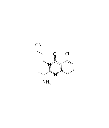 CC(N)c1nc2cccc(Cl)c2c(=O)n1CCCC#N